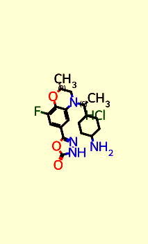 C[C@@H]1CN([C@@H](C)C2CCC(N)CC2)c2cc(-c3n[nH]c(=O)o3)cc(F)c2O1.Cl